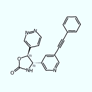 O=C1N[C@@H](c2cncc(C#Cc3ccccc3)c2)[C@H](c2ccnnc2)O1